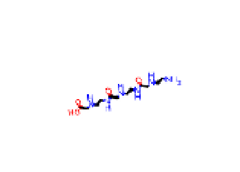 NCCNCC(=O)NCCNCC(=O)NCCNCC(=O)O